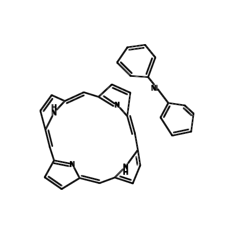 C1=Cc2cc3ccc(cc4nc(cc5ccc(cc1n2)[nH]5)C=C4)[nH]3.c1cc[c]([Ni][c]2ccccc2)cc1